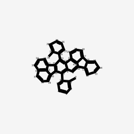 Cc1ccccc1-c1c2cc3c4ccccc4c4cccc(c2c(-c2ccccc2C)c2c5cccc6cccc(c12)c65)c43